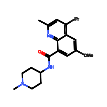 COc1cc(C(=O)NC2CCN(C)CC2)c2nc(C)cc(C(C)C)c2c1